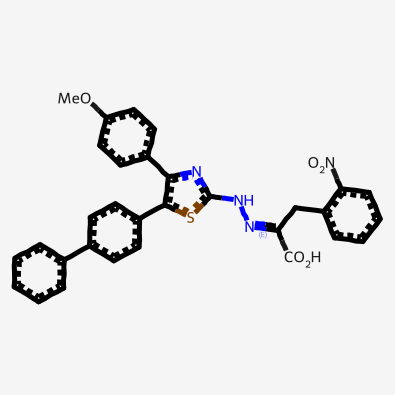 COc1ccc(-c2nc(N/N=C(\Cc3ccccc3[N+](=O)[O-])C(=O)O)sc2-c2ccc(-c3ccccc3)cc2)cc1